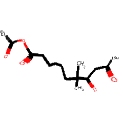 CCC(=O)OC(=O)CCCCC(C)(C)C(=O)CC(=O)C(C)(C)C